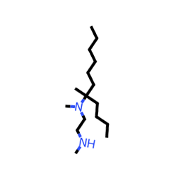 CCCCCCC(C)(CCCC)N(C)CCNC